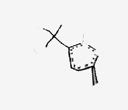 CC(C)(C)c1cc(=O)o[nH]1